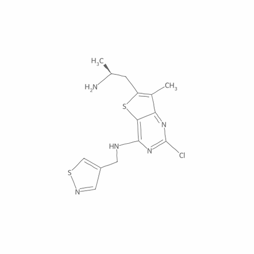 Cc1c(C[C@H](C)N)sc2c(NCc3cnsc3)nc(Cl)nc12